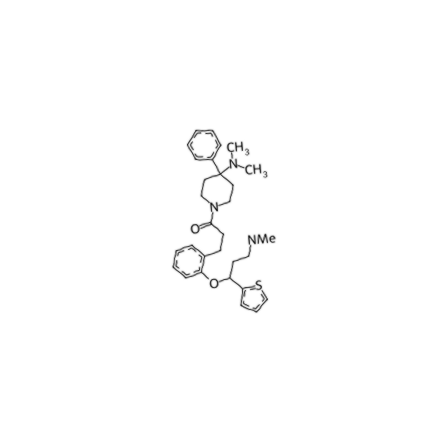 CNCCC(Oc1ccccc1CCC(=O)N1CCC(c2ccccc2)(N(C)C)CC1)c1cccs1